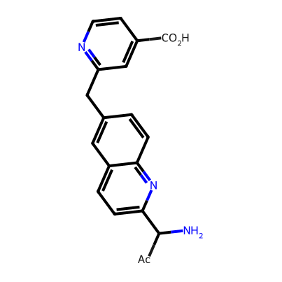 CC(=O)C(N)c1ccc2cc(Cc3cc(C(=O)O)ccn3)ccc2n1